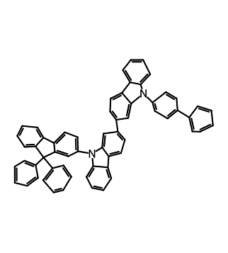 c1ccc(-c2ccc(-n3c4ccccc4c4ccc(-c5ccc6c7ccccc7n(-c7ccc8c(c7)C(c7ccccc7)(c7ccccc7)c7ccccc7-8)c6c5)cc43)cc2)cc1